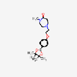 CN1CCN(CCOc2ccc(B3OC(C)(C)C(C)(C)O3)cc2)CCC1=O